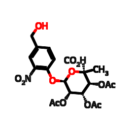 CC(=O)O[C@@H]1[C@@H](OC(C)=O)[C@@H](Oc2ccc(CO)cc2[N+](=O)[O-])O[C@](C)(C(=O)O)[C@H]1OC(C)=O